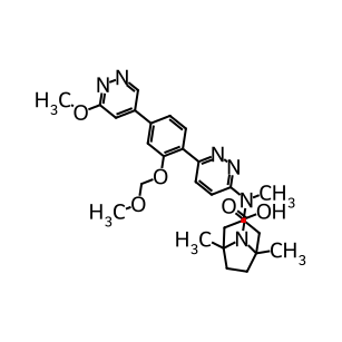 COCOc1cc(-c2cnnc(OC)c2)ccc1-c1ccc(N(C)C2CC3(C)CCC(C)(C2)N3C(=O)O)nn1